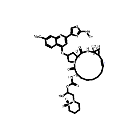 COc1ccc2c(OC3C[C@H]4C(=O)N[C@]5(C(=O)O)CC5/C=C\CCCCC[C@H](NC(=O)OC(CN5CCCCS5(=O)=O)C(C)(C)C)C(=O)N4C3)cc(-c3csc(NC(C)C)n3)nc2c1